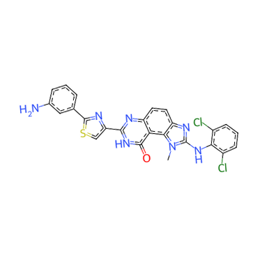 Cn1c(Nc2c(Cl)cccc2Cl)nc2ccc3nc(-c4csc(-c5cccc(N)c5)n4)[nH]c(=O)c3c21